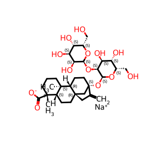 C=C1C[C@@]23CC[C@H]4[C@@](C)(CCC[C@@]4(C)C(=O)[O-])[C@@H]2CC[C@]1(O[C@@H]1O[C@@H](CO)[C@@H](O)[C@H](O)[C@@H]1O[C@@H]1O[C@@H](CO)[C@@H](O)[C@H](O)[C@@H]1O)C3.[Na+]